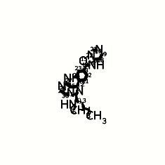 CCCC[C@H](NC)c1nc(-c2ccc(C(=O)Nc3ccncn3)cc2)c2c(N)nccn12